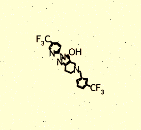 Oc1c2c(nn1-c1ccc(C(F)(F)F)cn1)CCN(Cc1cccc(C(F)(F)F)c1)C2